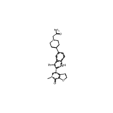 CC(C)c1c(-c2cn(C)c(=O)c3c2CCO3)[nH]c2ccc(C3CCN(CC(N)=O)CC3)cc12